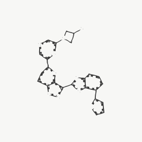 NC1CN(c2cncc(-c3ccc4[nH]nc(-c5nc6c(-c7cccs7)cccc6[nH]5)c4n3)n2)C1